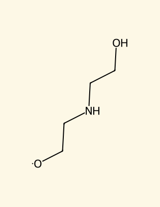 [O]CCNCCO